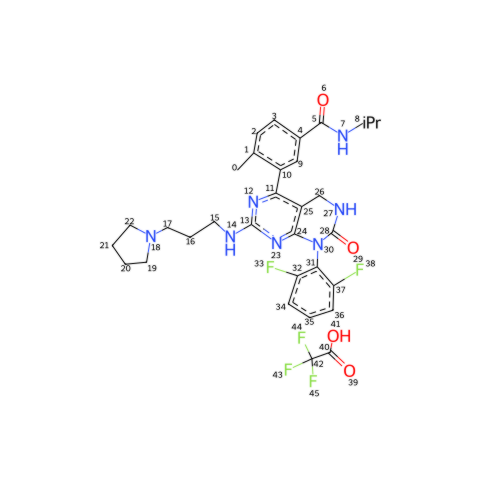 Cc1ccc(C(=O)NC(C)C)cc1-c1nc(NCCCN2CCCC2)nc2c1CNC(=O)N2c1c(F)cccc1F.O=C(O)C(F)(F)F